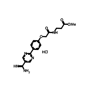 COC(=O)CCNC(=O)COc1ccc(-c2ncc(C(=N)N)cn2)cc1.Cl